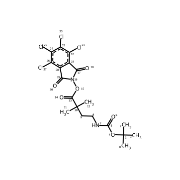 CC(C)(C)OC(=O)NCCC(C)(C)C(=O)ON1C(=O)c2c(Cl)c(Cl)c(Cl)c(Cl)c2C1=O